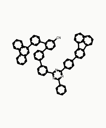 N#Cc1ccc(-c2cccc(-c3cccc(-c4nc(-c5ccccc5)nc(-c5ccc(-c6ccc7c(c6)-c6cccc8cccc-7c68)cc5)n4)c3)c2)c(-c2cccc(-c3cc4ccccc4c4ccccc34)c2)c1